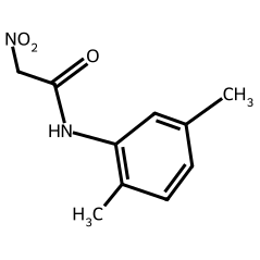 Cc1ccc(C)c(NC(=O)C[N+](=O)[O-])c1